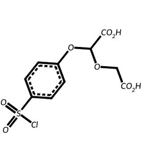 O=C(O)COC(Oc1ccc(S(=O)(=O)Cl)cc1)C(=O)O